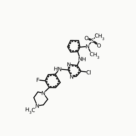 CN1CCN(c2ccc(Nc3ncc(Cl)c(Nc4ccccc4N(C)S(C)(=O)=O)n3)cc2F)CC1